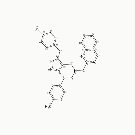 Cc1ccc(CCN(Cc2ccc3ccccc3n2)Cc2nncn2Cc2ccc(Br)cc2)cc1